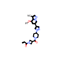 C=CC(=O)N1CC(C(=O)N2CCC(n3cc(-c4cc(OC(C)C)c5c(C#N)cnn5c4)cn3)CC2)C1